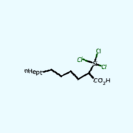 CCCCCCCCCCCC(C(=O)O)[Si](Cl)(Cl)Cl